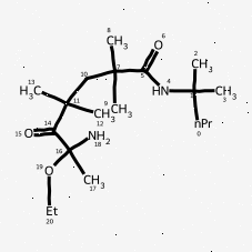 CCCC(C)(C)NC(=O)C(C)(C)CC(C)(C)C(=O)C(C)(N)OCC